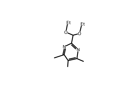 CCOC(OCC)c1nc(C)c(C)c(C)n1